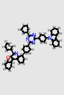 c1ccc(-c2nc(-c3ccc(-c4cccc5c4nc(-c4ccccc4)c4oc6ccccc6c45)cc3)nc(-c3ccc(-n4c5ccccc5c5ccccc54)cc3)n2)cc1